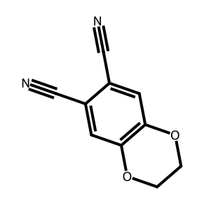 N#Cc1cc2c(cc1C#N)OCCO2